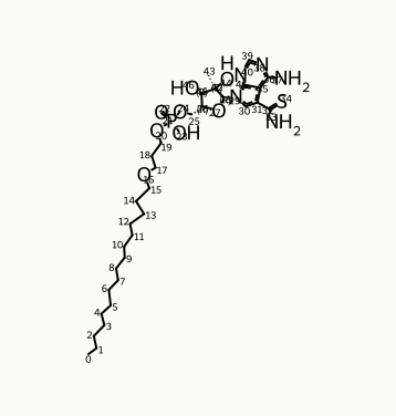 CCCCCCCCCCCCCCCCOCCCOP(=O)(O)OC[C@H]1O[C@@H](n2cc(C(N)=S)c3c(N)ncnc32)[C@](C)(O)[C@@H]1O